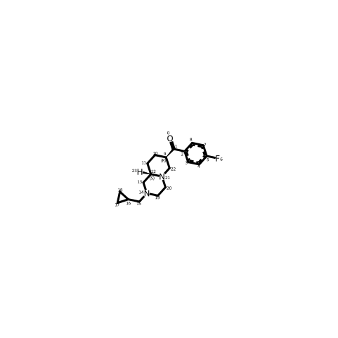 O=C(c1ccc(F)cc1)[C@@H]1CC[C@H]2CN(CC3CC3)CCN2C1